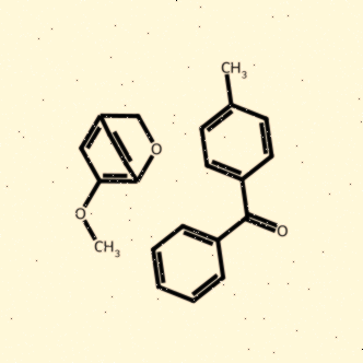 COc1cc2ccc1OC2.Cc1ccc(C(=O)c2ccccc2)cc1